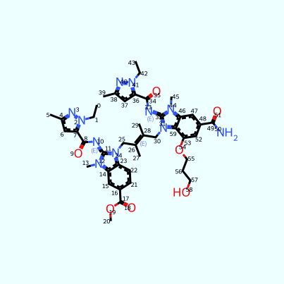 CCn1nc(C)cc1C(=O)/N=c1\n(C)c2cc(C(=O)OC)ccc2n1C/C(C)=C(\C)Cn1/c(=N/C(=O)c2cc(C)nn2CC)n(C)c2cc(C(N)=O)cc(OCCCO)c21